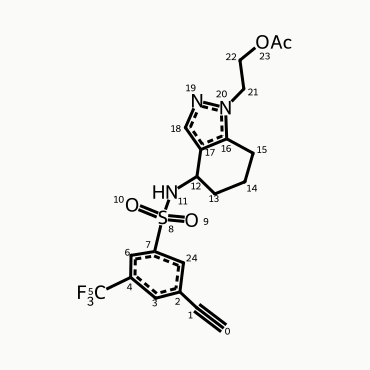 C#Cc1cc(C(F)(F)F)cc(S(=O)(=O)NC2CCCc3c2cnn3CCOC(C)=O)c1